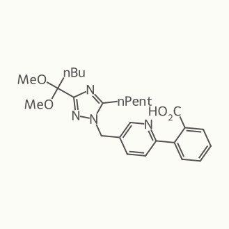 CCCCCc1nc(C(CCCC)(OC)OC)nn1Cc1ccc(-c2ccccc2C(=O)O)nc1